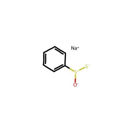 [Na+].[O-][S+]([S-])c1ccccc1